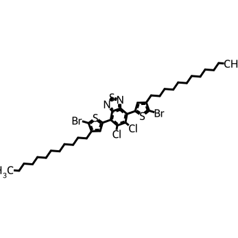 CCCCCCCCCCCCc1cc(-c2c(Cl)c(Cl)c(-c3cc(CCCCCCCCCCCC)c(Br)s3)c3nsnc23)sc1Br